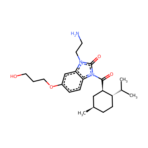 CC(C)[C@@H]1CC[C@@H](C)C[C@H]1C(=O)n1c(=O)n(CCN)c2cc(OCCCO)ccc21